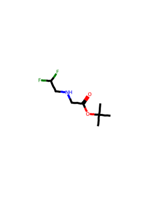 CC(C)(C)OC(=O)CNCC(F)F